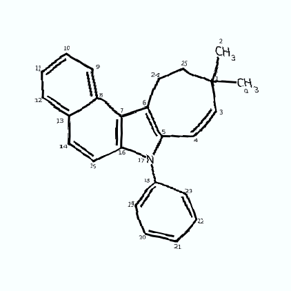 CC1(C)C=Cc2c(c3c4ccccc4ccc3n2-c2ccccc2)CC1